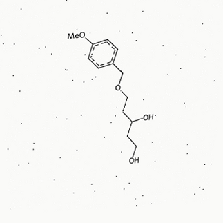 COc1ccc(COCCC(O)CCO)cc1